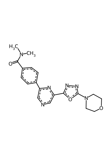 CN(C)C(=O)c1ccc(-c2cncc(-c3nnc(N4CCOCC4)o3)n2)cc1